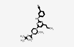 CCCc1cc(N2CCN(C(=O)OC(C)(C)C)C[C@H]2C)nc(Nc2cccc(C#N)c2)n1